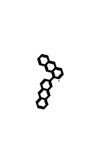 [c]1ccc2cc3ccccc3cc2c1-c1ccc2cc3ccccc3cc2c1